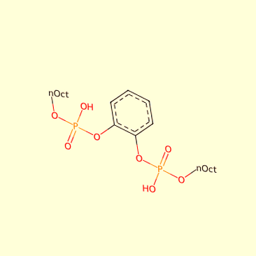 CCCCCCCCOP(=O)(O)Oc1ccccc1OP(=O)(O)OCCCCCCCC